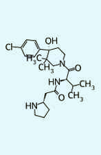 CC(C)[C@@H](NC(=O)C[C@H]1CCCN1)C(=O)N1CC[C@](O)(c2ccc(Cl)cc2)C(C)(C)C1